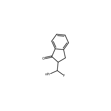 CCCC(F)C1Cc2ccccc2C1=O